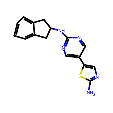 Nc1ncc(-c2cnc(NC3Cc4ccccc4C3)nc2)s1